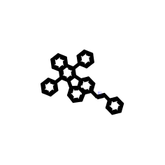 C(=C\c1ccc2c3c(cccc13)-c1c-2c(-c2ccccc2)c2ccccc2c1-c1ccccc1)/c1ccccc1